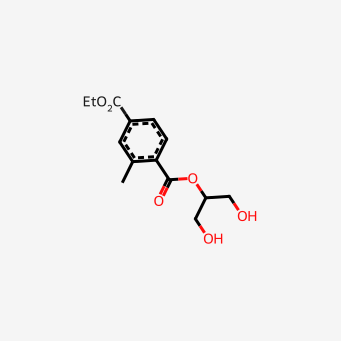 CCOC(=O)c1ccc(C(=O)OC(CO)CO)c(C)c1